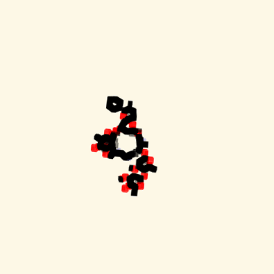 CO[C@@H]1C[C@H](O[C@H]2C(C)O[C@@H](O[C@H]3C/C=C/C=C4\CO[C@@H]5C(=O)C(C)=C[C@@H](C(=O)O[C@H]6C[C@@H](C/C=C/3C)OC3(CC[C@H](C)[C@@H](C7CCCCC7)O3)C6)[C@]45O)C[C@H]2OC)OC(C)C1=O